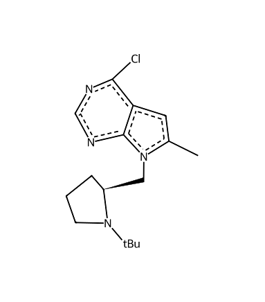 Cc1cc2c(Cl)ncnc2n1C[C@@H]1CCCN1C(C)(C)C